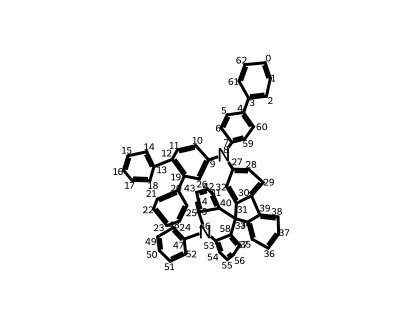 c1ccc(-c2ccc(N(c3ccc(-c4ccccc4)c(-c4ccccc4)c3)c3ccc4c(c3)C3(c5ccccc5-4)c4ccccc4N(c4ccccc4)c4ccccc43)cc2)cc1